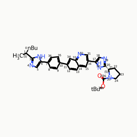 CCCC[C@H](C)c1ncc(-c2ccc(-c3ccc4cc(-c5cnc([C@@H]6CCCN6C(=O)OC(C)(C)C)[nH]5)cnc4c3)cc2)[nH]1